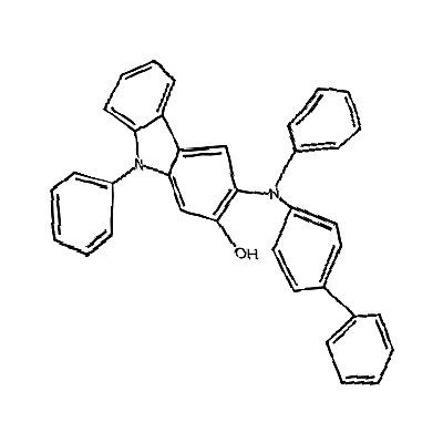 Oc1cc2c(cc1N(c1ccccc1)c1ccc(-c3ccccc3)cc1)c1ccccc1n2-c1ccccc1